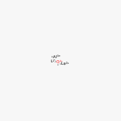 [Al+3].[La+3].[Li+].[O-2]